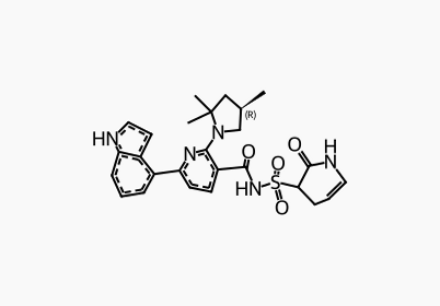 C[C@H]1CN(c2nc(-c3cccc4[nH]ccc34)ccc2C(=O)NS(=O)(=O)C2CC=CNC2=O)C(C)(C)C1